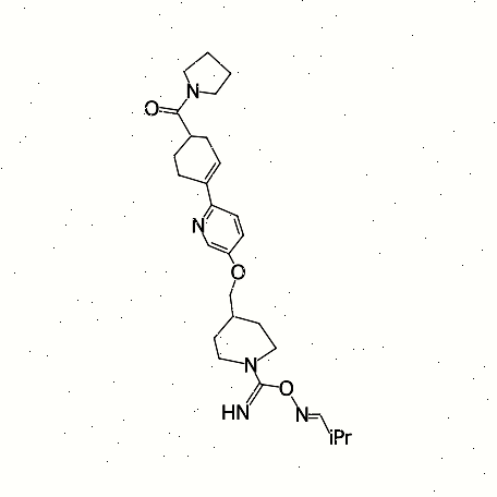 CC(C)C=NOC(=N)N1CCC(COc2ccc(C3=CCC(C(=O)N4CCCC4)CC3)nc2)CC1